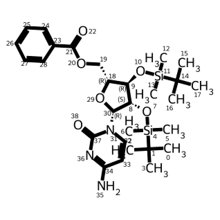 CC(C)(C)[Si](C)(C)O[C@H]1[C@H](O[Si](C)(C)C(C)(C)C)[C@@H](COC(=O)c2ccccc2)O[C@H]1n1ccc(N)nc1=O